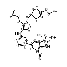 CC(C)CCc1c(Nc2nccc(-c3cc(C#N)c4c(c3)[C@@](C)(CO)CN4)n2)cnn1CC1CCN(CCF)CC1